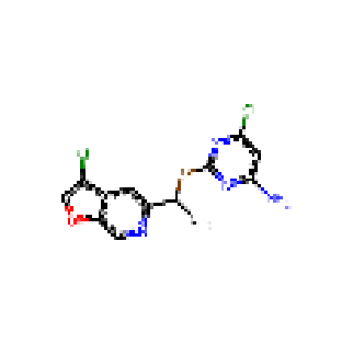 CC(Sc1nc(N)cc(Cl)n1)c1cc2c(Cl)coc2cn1